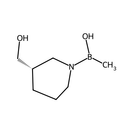 CB(O)N1CCC[C@H](CO)C1